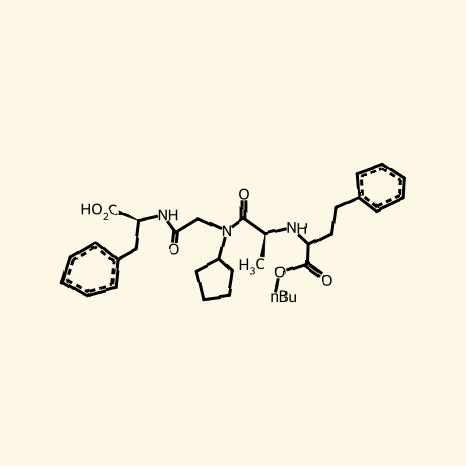 CCCCOC(=O)C(CCc1ccccc1)N[C@@H](C)C(=O)N(CC(=O)N[C@@H](Cc1ccccc1)C(=O)O)C1CCCC1